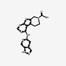 CC(C)C(=O)N1CCc2c(sc3ncnc(Nc4cc5cn[nH]c5cn4)c23)C1